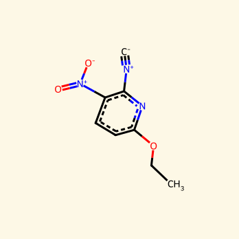 [C-]#[N+]c1nc(OCC)ccc1[N+](=O)[O-]